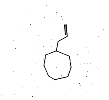 [CH]=CCC1CCCCCCC1